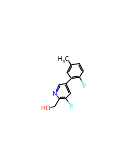 Cc1ccc(F)c(-c2cnc(CO)c(F)c2)c1